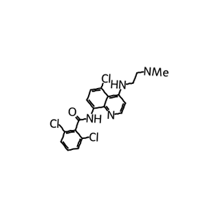 CNCCNc1ccnc2c(NC(=O)c3c(Cl)cccc3Cl)ccc(Cl)c12